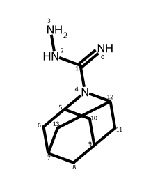 N=C(NN)N1C2CC3CC(C2)CC1C3